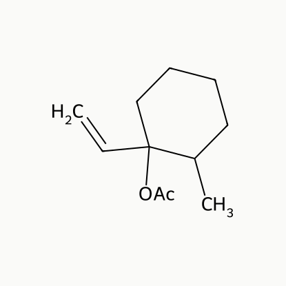 C=CC1(OC(C)=O)CCCCC1C